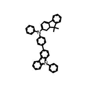 CC1(C)c2ccccc2C2=CC=C(N(c3ccccc3)c3ccc(-c4ccc5c(c4)c4ccccc4n5-c4ccccc4)cc3)CC21